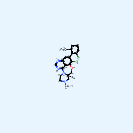 COc1cccc(Cl)c1-c1cc2ncnc3c2c(c1Cl)OC[C@@H]1CN(C(=O)O)CCN31